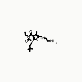 CCn1c(=O)c2c(C)c(CNCCN)sc2n(CCC(C)(C)C)c1=O